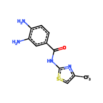 Nc1ccc(C(=O)Nc2nc(C(F)(F)F)cs2)cc1N